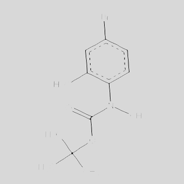 Cc1cc(Br)ccc1N(C)C(=O)OC(C)(C)C